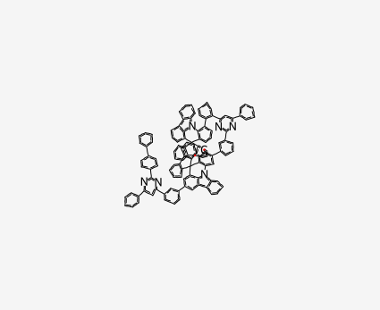 c1ccc(-c2ccc(-c3nc(-c4ccccc4)cc(-c4cccc(-c5cc6c7c(c5)c5ccccc5n7-c5cc(-c7cccc(-c8nc(-c9ccccc9)cc(-c9ccccc9-c9cccc%10c9-n9c%11ccccc%11c%11cccc(c%119)C%109c%10ccccc%10-c%10ccccc%109)n8)c7)ccc5C65c6ccccc6-c6ccccc65)c4)n3)cc2)cc1